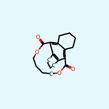 O=C1OCCCCOC(=O)c2c3c(c1c1c2CCCC1)CCCC3